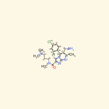 Cc1nc2nc(C(=O)N(C)CCCN(C)C)cn2c(-c2ccc(Cl)cc2Cl)c1CN